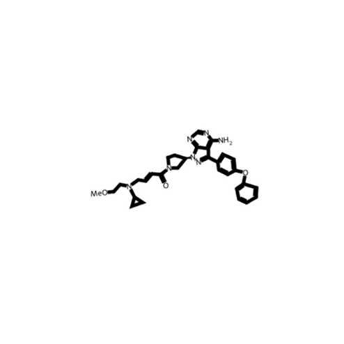 COCCN(CC=CC(=O)N1CC[C@@H](n2nc(-c3ccc(Oc4ccccc4)cc3)c3c(N)ncnc32)C1)C1CC1